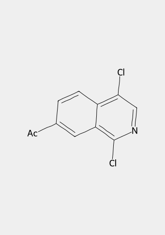 CC(=O)c1ccc2c(Cl)cnc(Cl)c2c1